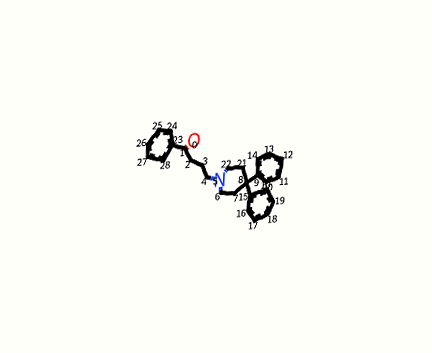 O=C(CCCN1CCC(c2ccccc2)(c2ccccc2)CC1)c1ccccc1